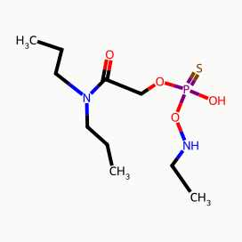 CCCN(CCC)C(=O)COP(O)(=S)ONCC